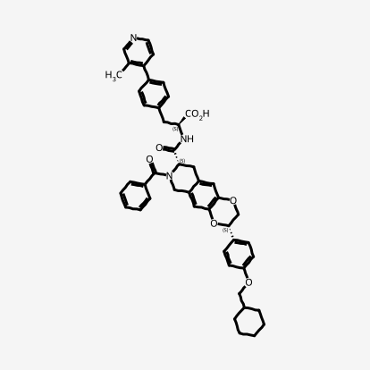 Cc1cnccc1-c1ccc(C[C@H](NC(=O)[C@@H]2Cc3cc4c(cc3CN2C(=O)c2ccccc2)O[C@@H](c2ccc(OCC3CCCCC3)cc2)CO4)C(=O)O)cc1